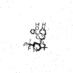 CC(C)C(F)(F)c1cc2c(cn1)C(C)(C)CN2C(=O)CN1C[C@@H](C)NC[C@@H]1CN1CCCC1O